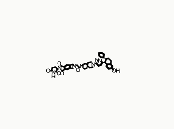 O=C1CC[C@@H](N2C(=O)c3cc4c(cc3C2=O)CN(CC(=O)N2CCC3(CC2)CCN(c2ccc([C@@H]5c6ccc(O)cc6CC[C@@H]5c5ccccc5)nn2)CC3)C4)C(=O)N1